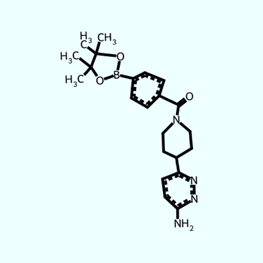 CC1(C)OB(c2ccc(C(=O)N3CCC(c4ccc(N)nn4)CC3)cc2)OC1(C)C